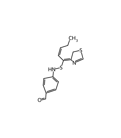 CC/C=C\C(SNc1ccc(C=O)cc1)=C1/CSC=N1